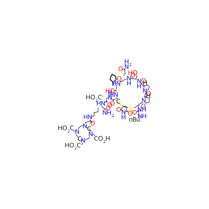 CCCCNC(=O)N[C@H]1CSC2=C(SC[C@@H](C(=O)N[C@@H](CC(=O)O)C(=O)N[C@@H](CCCCNC(=O)CN3CCN(CC(=O)O)CCN(CC(=O)O)CCN(CC(=O)O)CC3)C(N)=O)NC(O)[C@H](Cc3ccccc3)NC(=O)[C@H](CCC(N)=O)NC(=O)[C@H]([C@@H](C)O)NC(=O)[C@@H]3CCCN3C(=O)[C@@H]3CCCN3C1=O)C(=O)NC2=O